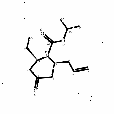 C=CC[C@H]1CC(=O)C[C@@H](CC)N1C(=O)OC(C)C